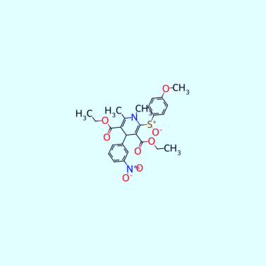 CCOC(=O)C1=C(C)N(C)C([S+]([O-])c2ccc(OC)cc2)=C(C(=O)OCC)C1c1cccc([N+](=O)[O-])c1